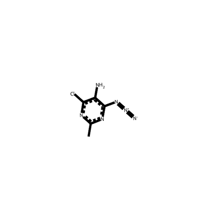 Cc1nc(Cl)c(N)c(N=[N+]=[N-])n1